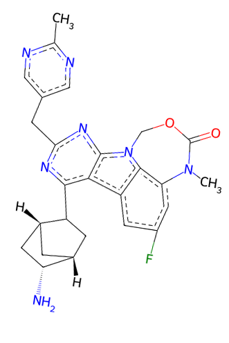 Cc1ncc(Cc2nc(C3C[C@H]4C[C@@H]3C[C@H]4N)c3c4cc(F)cc5c4n(c3n2)COC(=O)N5C)cn1